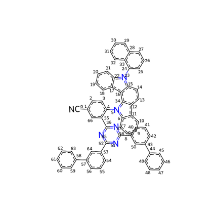 N#Cc1ccc(-n2c3ccccc3c3ccc4c(c5ccccc5n4-c4cccc5ccccc45)c32)c(-c2nc(-c3cccc(-c4ccccc4)c3)nc(-c3cccc(-c4ccccc4)c3)n2)c1